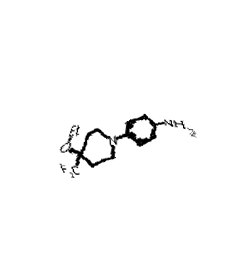 CCOC1(C(F)(F)F)CCN(c2ccc(N)cc2)CC1